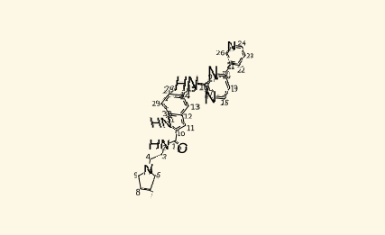 O=C(NCCN1CCCC1)c1cc2cc(Nc3nccc(-c4cccnc4)n3)ccc2[nH]1